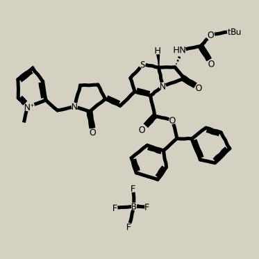 C[n+]1ccccc1CN1CCC(=CC2=C(C(=O)OC(c3ccccc3)c3ccccc3)N3C(=O)[C@@H](NC(=O)OC(C)(C)C)[C@H]3SC2)C1=O.F[B-](F)(F)F